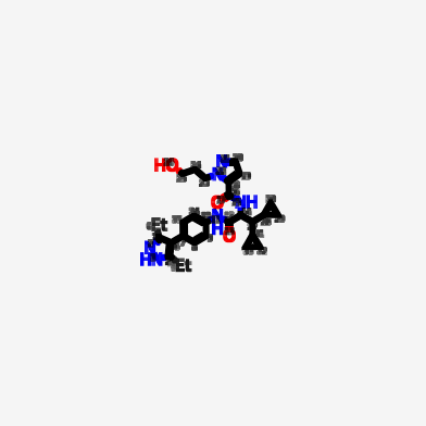 CCc1n[nH]c(CC)c1-c1ccc(NC(=O)C(NC(=O)c2ccnn2CCCO)C(C2CC2)C2CC2)cc1